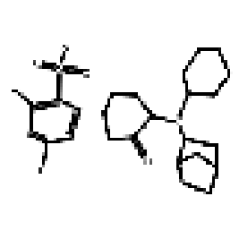 O=C1CCCCC1[S+](C1CCCCC1)C1CC2CCC1C2.O=S(=O)([O-])c1ccc(F)cc1F